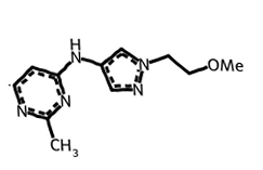 COCCn1cc(Nc2c[c]nc(C)n2)cn1